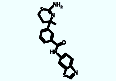 CC1(c2cccc(C(=O)Nc3ccc4ncsc4c3)c2)CCSC(N)=N1